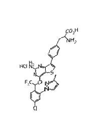 Cc1ccn(-c2cc(Cl)ccc2C(Oc2nc(N)nc3c(-c4ccc(CC(N)C(=O)O)cc4)csc23)C(F)(F)F)n1.Cl